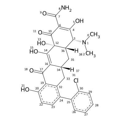 CN(C)[C@H]1C(O)=C(C(N)=O)C(=O)[C@]2(O)C(O)=C3C(=O)c4c(O)ccc(-c5ccccc5Cl)c4C[C@H]3C[C@@H]12